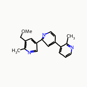 COCc1cc(-c2cc(-c3cccnc3C)ccn2)cnc1C